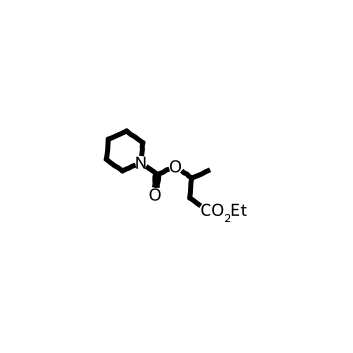 CCOC(=O)CC(C)OC(=O)N1CCCCC1